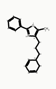 Cc1oc(-c2ccccc2)nc1CCCC1C=CC=CC1